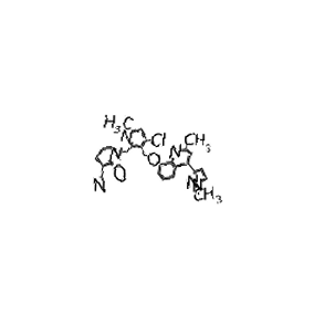 Cc1cc(Cl)c(COc2cccc3c(-c4ccn(C)n4)cc(C)nc23)c(Cn2cccc(C#N)c2=O)n1